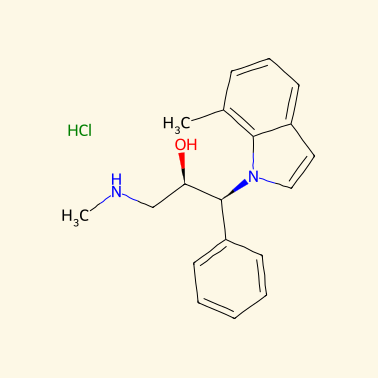 CNC[C@@H](O)[C@H](c1ccccc1)n1ccc2cccc(C)c21.Cl